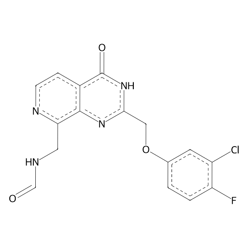 O=CNCc1nccc2c(=O)[nH]c(COc3ccc(F)c(Cl)c3)nc12